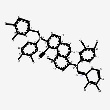 C#Cc1c(N(Cc2ccc(C)c(C)c2)c2ccc(C)c(C)c2)ccc2ccc3c(N(/C=C4\CC=CC(C)=C4C)c4ccc(C)c(C)c4)ccc(C)c3c12